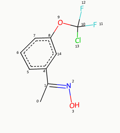 CC(=NO)c1cccc(OC(F)(F)Cl)c1